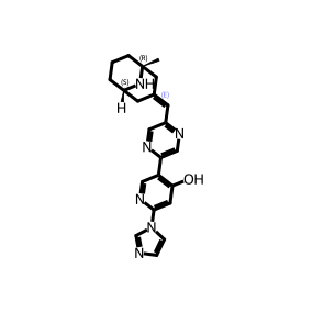 C[C@@]12CCC[C@@H](C/C(=C\c3cnc(-c4cnc(-n5ccnc5)cc4O)cn3)C1)N2